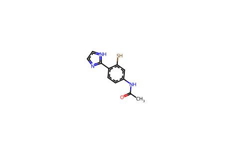 CC(=O)Nc1ccc(-c2ncc[nH]2)c(S)c1